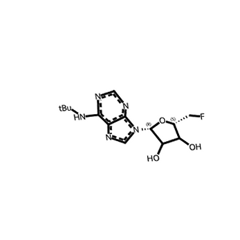 CC(C)(C)Nc1ncnc2c1ncn2[C@@H]1O[C@H](CF)C(O)C1O